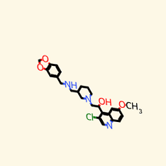 COc1ccc2ncc(Cl)c(C(O)CN3CCCC(CNCc4ccc5c(c4)OCO5)C3)c2c1